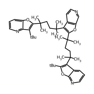 CC(C)(C)c1oc2ncccc2c1C(C)(C)CCC(C)(C)c1oc2cnccc2c1C(C)(C)CCC(C)(C)c1oc2cccnc2c1C(C)(C)C